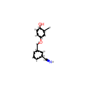 Cc1cc(OCc2cccc(C#N)c2)ccc1O